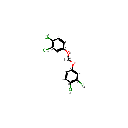 Clc1ccc(OBOc2ccc(Cl)c(Cl)c2)cc1Cl